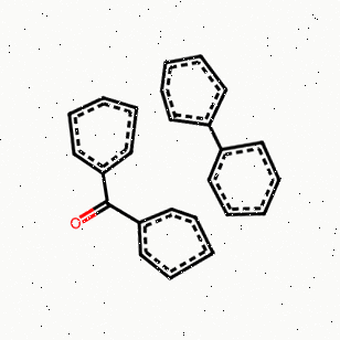 O=C(c1ccccc1)c1ccccc1.c1ccc(-c2ccccc2)cc1